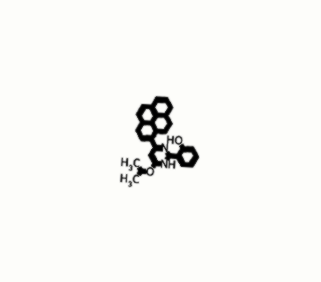 CC(C)OC1=CC(C2=CCC3C=CC4=C5C(CC=C4)CCC2C53)=NC(c2ccccc2O)N1